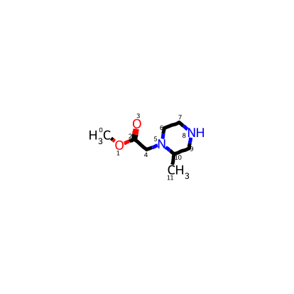 COC(=O)CN1CCNCC1C